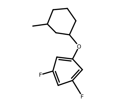 CC1CCCC(Oc2cc(F)cc(F)c2)C1